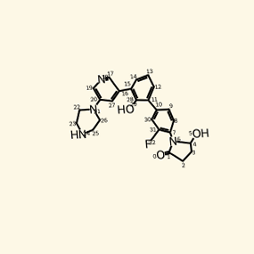 O=C1CCC(O)N1c1ccc(-c2cccc(-c3cncc(N4CCNCC4)c3)c2O)cc1F